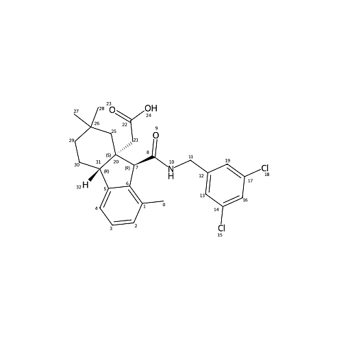 Cc1cccc2c1[C@H](C(=O)NCc1cc(Cl)cc(Cl)c1)[C@]1(CC(=O)O)CC(C)(C)CC[C@@H]21